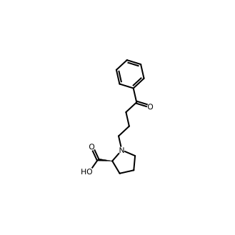 O=C(CCCN1CCC[C@H]1C(=O)O)c1ccccc1